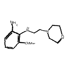 COc1cccc(N)c1NCCN1CCOCC1